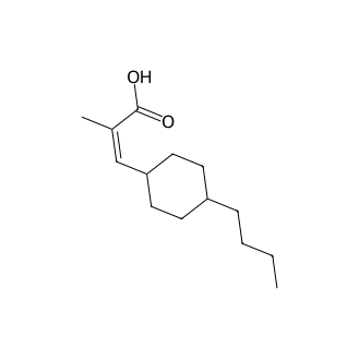 CCCCC1CCC(C=C(C)C(=O)O)CC1